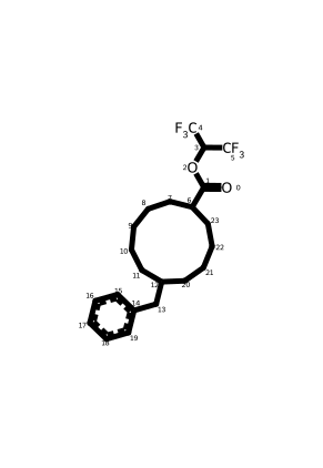 O=C(OC(C(F)(F)F)C(F)(F)F)C1CCCCCC(Cc2ccccc2)CCCC1